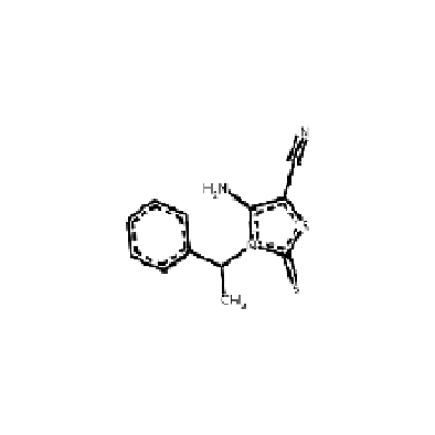 CC(c1ccccc1)n1c(N)c(C#N)sc1=S